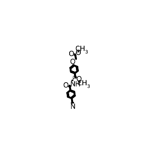 COC(=O)COc1ccc([C@@H](CNC(=O)c2ccc(C#N)cc2)OC)cc1